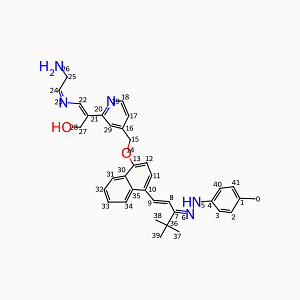 Cc1ccc(N/N=C(\C=Cc2ccc(OCc3ccnc(C(=C/N=C\CN)CO)c3)c3ccccc23)C(C)(C)C)cc1